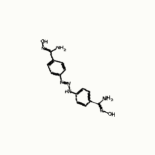 N/C(=N\O)c1ccc(/N=N/Nc2ccc(/C(N)=N/O)cc2)cc1